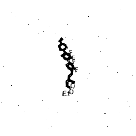 C=CC1CCC(c2ccc(-c3ccc(CCC4CCC(OCC)OC4)c(F)c3F)c(F)c2F)CC1